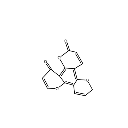 O=c1ccc2c3c(c4occc(=O)c4c2o1)C=CCO3